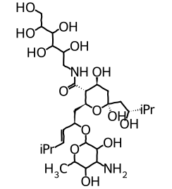 CC(C)/C=C/[C@@H](C[C@@H]1O[C@](O)(C[C@@H](O)C(C)C)C[C@H](O)[C@H]1C(=O)NCC(O)C(O)C(O)C(O)CO)OC1OC(C)C(O)C(N)C1O